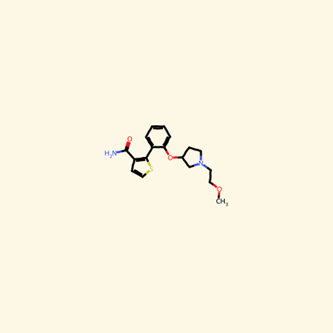 COCCN1CCC(Oc2ccccc2-c2sccc2C(N)=O)C1